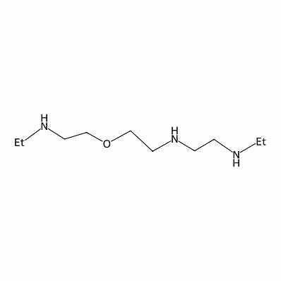 CCNCCNCCOCCNCC